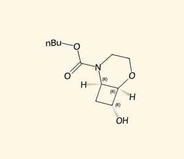 CCCCOC(=O)N1CCO[C@H]2[C@H](O)C[C@H]21